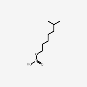 CC(C)CCCCC[O][Ti](=[O])[OH]